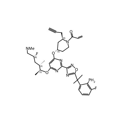 C#CC[C@@H]1C[C@@H](Oc2cc(O[C@@H](C)[C@@H](C)C[C@@H](F)CNC)nc(-c3noc(C(C)(C)c4cccc(F)c4P)n3)n2)CCN1C(=O)C=C